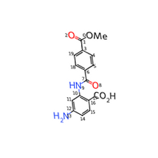 COC(=O)c1ccc(C(=O)Nc2cc(N)ccc2C(=O)O)cc1